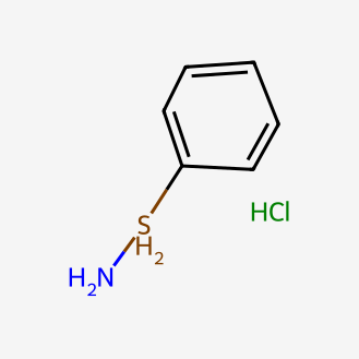 Cl.N[SH2]c1ccccc1